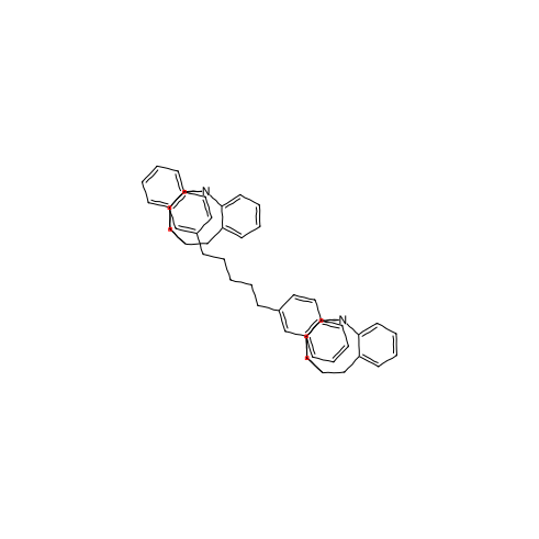 c1ccc2c(c1)CC1Cc3ccccc3N2c2ccc(CCCCCc3ccc4c(c3)CC3Cc5ccccc5N4c4ccccc4C3)cc2C1